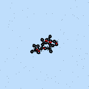 c1ccc(-c2nc(-c3ccccc3)nc(-n3c4ccc(-c5cccc6oc7ccc(-c8ccc9c%10ccccc%10n(-c%10ccccc%10)c9c8)cc7c56)cc4c4ccc(-c5ccc6c(c5)c5cc(-c7ccc8sc9cccc(-c%10cccc%11c%12ccccc%12n(-c%12nc(-c%13ccccc%13)nc(-c%13ccccc%13)n%12)c%10%11)c9c8c7)ccc5n6-c5ccccc5)cc43)n2)cc1